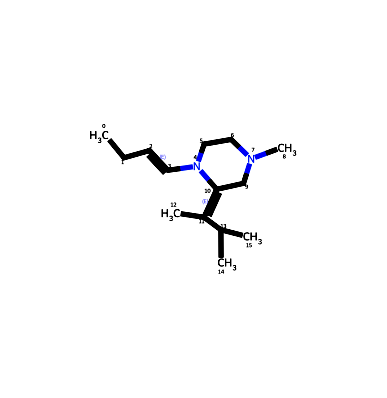 CC/C=C/N1CCN(C)C/C1=C(/C)C(C)C